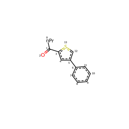 CCCC(=O)c1cc(-c2ccccc2)cs1